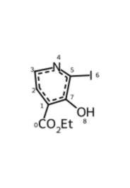 CCOC(=O)c1ccnc(I)c1O